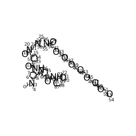 CCN(CC)c1ccc(NC(=O)c2cccc(C(=O)N(C)CCN3CCCN(C(=O)CCOCCOCCOCCOCCOCCOCCOCCOC)CC3)c2)c(-c2cc(C(=O)NC3CCCc4ccccc43)ccn2)c1